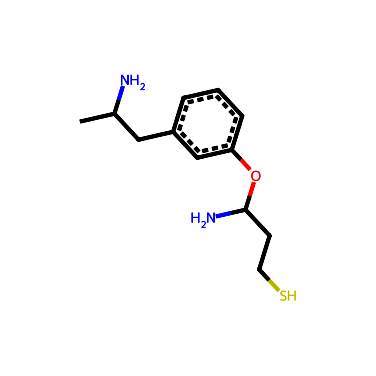 CC(N)Cc1cccc(OC(N)CCS)c1